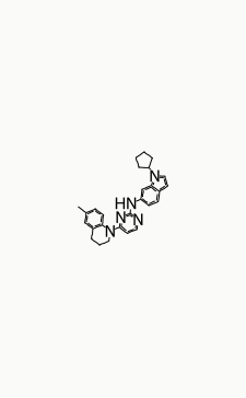 Cc1ccc2c(c1)CCCN2c1ccnc(Nc2ccc3ccn(C4CCCC4)c3c2)n1